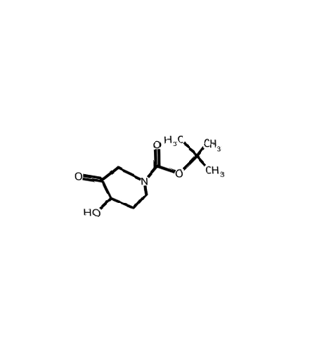 CC(C)(C)OC(=O)N1CCC(O)C(=O)C1